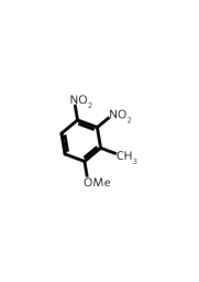 COc1ccc([N+](=O)[O-])c([N+](=O)[O-])c1C